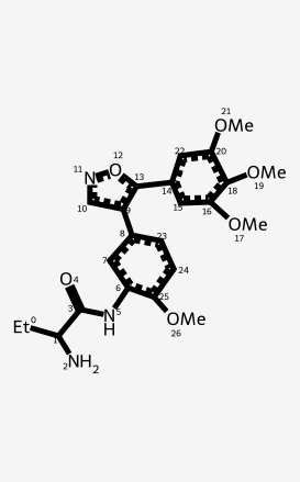 CCC(N)C(=O)Nc1cc(-c2cnoc2-c2cc(OC)c(OC)c(OC)c2)ccc1OC